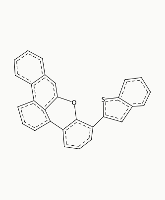 c1cc(-c2cc3ccccc3s2)c2c(c1)-c1cccc3c1c(cc1ccccc13)O2